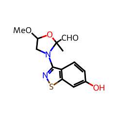 COC1CN(c2nsc3cc(O)ccc23)C(C)(C=O)O1